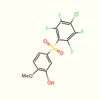 COc1ccc(S(=O)(=O)c2c(F)c(F)c(Cl)c(F)c2F)cc1O